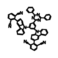 N#Cc1cccc(C#N)c1-c1ccc2c(c1)c1ccccc1n2-c1cc(-c2nc(-c3ccccc3)nc(-c3ccccc3)n2)cc(-n2c3ccccc3c3cc(-c4c(C#N)cccc4C#N)ccc32)c1